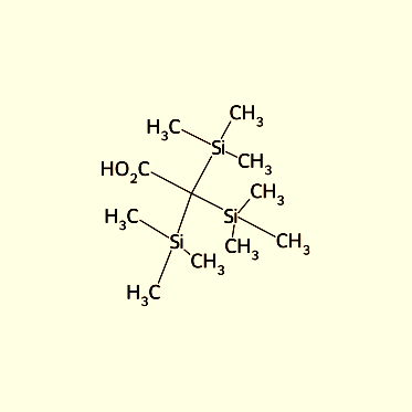 C[Si](C)(C)C(C(=O)O)([Si](C)(C)C)[Si](C)(C)C